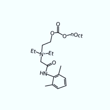 CCCCCCCCOC(=O)OCC[N+](CC)(CC)CC(=O)Nc1c(C)cccc1C